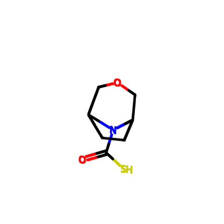 O=C(S)N1C2CCC1COC2